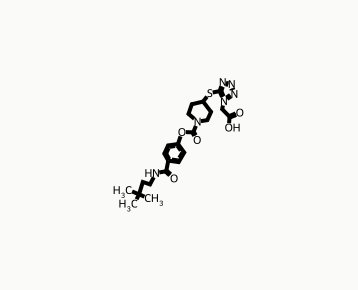 CC(C)(C)CCNC(=O)c1ccc(OC(=O)N2CCC(Sc3nnnn3CC(=O)O)CC2)cc1